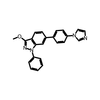 COc1nn(-c2ccccc2)c2cc(-c3ccc(-n4ccnc4)cc3)ccc12